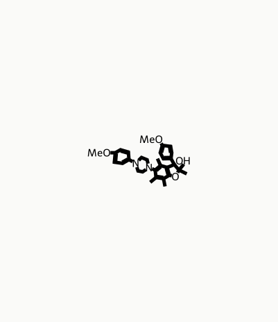 COc1ccc(N2CCN(c3c(C)c(C)c4c(c3C)C(O)(c3ccc(OC)cc3)C(C)(C)O4)CC2)cc1